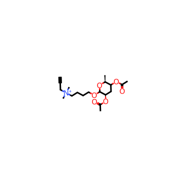 C#CC[N+](C)(C)CCCCOC1O[C@@H](C)C(OC(C)=O)C[C@H]1OC(C)=O